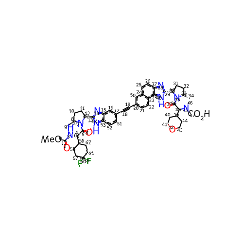 COC(=O)N[C@H](C(=O)N1[C@@H](C)CC[C@H]1c1nc2cc(C#Cc3ccc4c(ccc5nc([C@@H]6CC[C@H](C)N6C(=O)C(C6CCOCC6)N(C)C(=O)O)[nH]c54)c3)ccc2[nH]1)C1CCC(F)(F)CC1